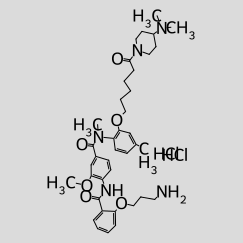 COc1cc(C(=O)N(C)c2ccc(C)cc2OCCCCCC(=O)N2CCC(N(C)C)CC2)ccc1NC(=O)c1ccccc1OCCCN.Cl.Cl